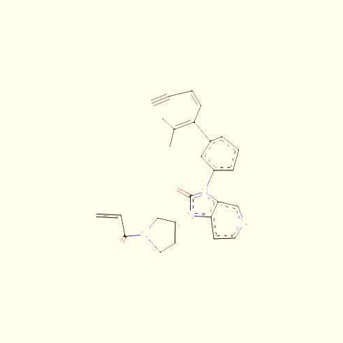 C#C/C=C\C(=C(C)C)c1cccc(-n2c(=O)n([C@@H]3CCN(C(=O)C=C)C3)c3ccncc32)c1